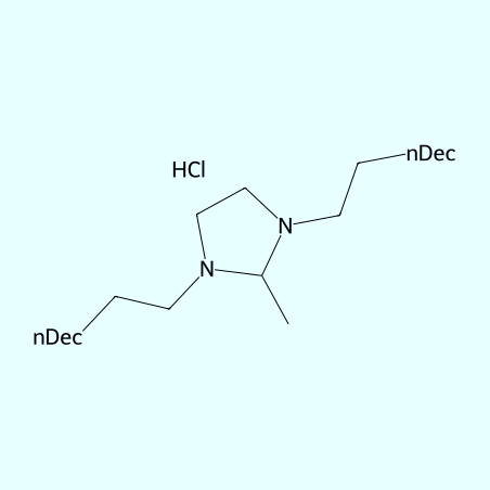 CCCCCCCCCCCCN1CCN(CCCCCCCCCCCC)C1C.Cl